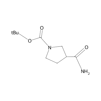 CC(C)(C)OC(=O)N1CCC(C(N)=O)C1